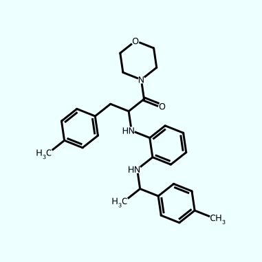 Cc1ccc(CC(Nc2ccccc2NC(C)c2ccc(C)cc2)C(=O)N2CCOCC2)cc1